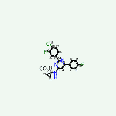 O=C(O)C1(Nc2cc(-c3ccc(F)cc3)nc(-c3ccc(Cl)c(F)c3)n2)CC1